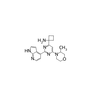 CC1COCCN1c1cc(C2(N)CCC2)nc(-c2ccnc3[nH]ccc23)n1